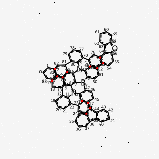 c1ccc(-c2cc3c4c(c2)N(c2c(-c5ccccc5)cccc2-c2ccccc2)c2cc(-n5c6ccccc6c6ccccc65)ccc2B4c2ccc(-c4ccc5oc6ccccc6c5c4)cc2N3c2c(-c3ccccc3)cccc2-c2ccccc2)cc1